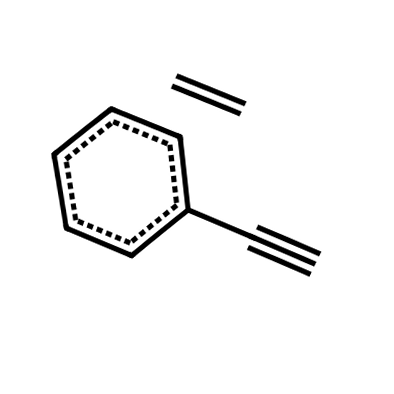 C#Cc1ccccc1.C=C